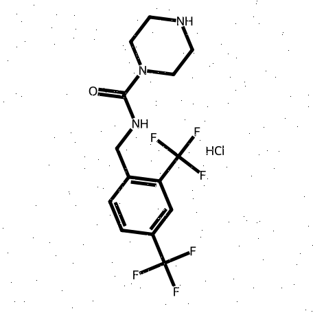 Cl.O=C(NCc1ccc(C(F)(F)F)cc1C(F)(F)F)N1CCNCC1